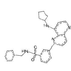 O=S(=O)(NCc1ccccc1)c1cccc(-c2ccc3nccc(NC4CCCC4)c3n2)c1